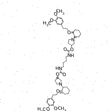 COc1ccc(CCO[C@@H]2CCCCC2N2CC[C@@H](OC(=O)NCCCCNC(=O)OC3CCN([C@@H]4CCCC[C@H]4OCCc4ccc(OC)c(OC)c4)C3)C2)cc1OC